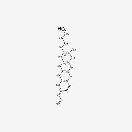 C=C/C=C(\C=C/CCCCCCCC)CCCCCCCCCCCCO